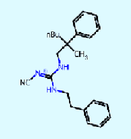 CCCCC(C)(CN/C(=N/C#N)NCCc1ccccc1)c1ccccc1